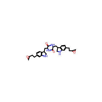 O=C1NC(CC2CNc3cc(CCC4CO4)ccc32)C(=O)NC1CC1CNc2cc(CCC3CO3)ccc21